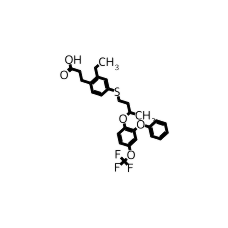 CCc1cc(SCCC(C)Oc2ccc(OC(F)(F)F)cc2Oc2ccccc2)ccc1CCC(=O)O